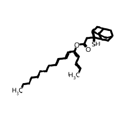 CC=CC=C(C=CCCCCCCCCCC)OC(=O)CC1(S)C2CC3CC(C2)CC1C3